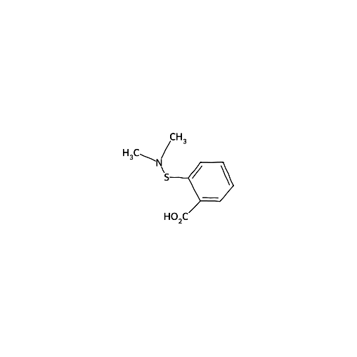 CN(C)Sc1ccccc1C(=O)O